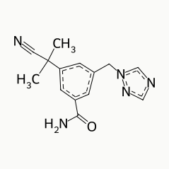 CC(C)(C#N)c1cc(Cn2cncn2)cc(C(N)=O)c1